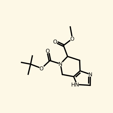 COC(=O)C1Cc2nc[nH]c2CN1C(=O)OC(C)(C)C